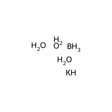 B.O.O.O.[KH]